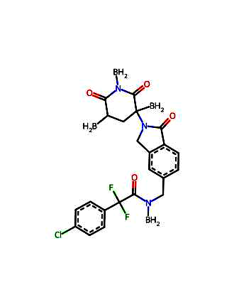 BC1CC(B)(N2Cc3cc(CN(B)C(=O)C(F)(F)c4ccc(Cl)cc4)ccc3C2=O)C(=O)N(B)C1=O